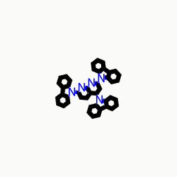 c1ccc2c(c1)c1ccccc1n2-c1ccc2c(-n3c4ccccc4c4ccccc43)cc(-n3c4ccccc4c4ccccc43)nc2n1